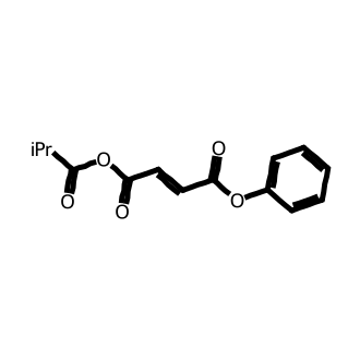 CC(C)C(=O)OC(=O)/C=C/C(=O)Oc1ccccc1